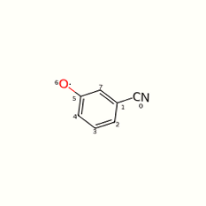 N#Cc1cccc([O])c1